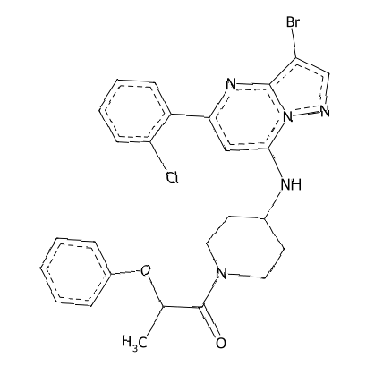 CC(Oc1ccccc1)C(=O)N1CCC(Nc2cc(-c3ccccc3Cl)nc3c(Br)cnn23)CC1